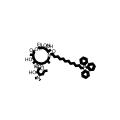 CC[C@H]1OC(=O)C(C)[C@@H](O)C(C)[C@@H](O[C@@H]2OC(C)C[C@H](N(C)C)[C@H]2O)[C@](C)(O)CC(C)CN(C(=O)CCCCCCCCCCC[PH](c2ccccc2)(c2ccccc2)c2ccccc2)C(C)[C@@H](O)[C@]1(C)O